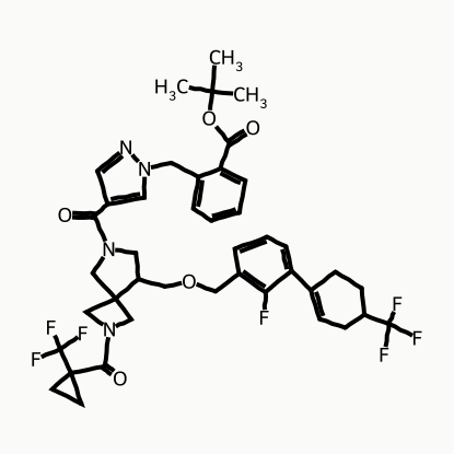 CC(C)(C)OC(=O)c1ccccc1Cn1cc(C(=O)N2CC(COCc3cccc(C4=CCC(C(F)(F)F)CC4)c3F)C3(C2)CN(C(=O)C2(C(F)(F)F)CC2)C3)cn1